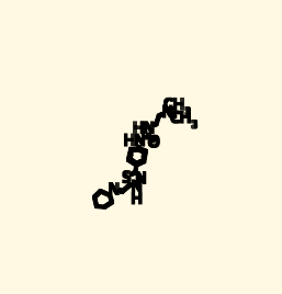 CN(C)CCNC(=O)Nc1ccc(C2=NNC(C=NC3CCCCC3)S2)cc1